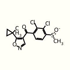 C[S+]([O-])c1ccc(C(=O)c2cnoc2C2(C)CC2)c(Cl)c1Cl